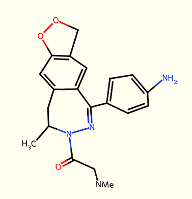 CNCC(=O)N1N=C(c2ccc(N)cc2)c2cc3c(cc2CC1C)OOC3